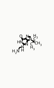 CC(C)(C)n1cnc2c(=O)[nH]c(NCN)nc21